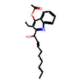 CCCCCCC=CC(O)c1nc2ccccc2c(OC(C)=O)c1CC